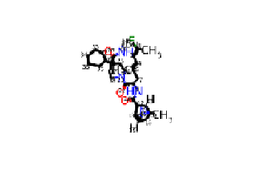 C/C(F)=C\C=C(/C)C[C@@H](NC(=O)C1C[C@H]2CC[C@@H]1N(C)C2)C(=O)N1CCC(C(=O)NC(C)(C)C)(C2CCCCC2)CC1